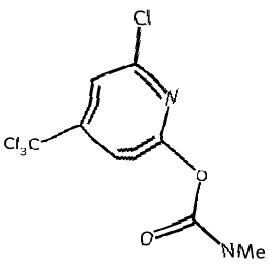 CNC(=O)Oc1cc(C(Cl)(Cl)Cl)cc(Cl)n1